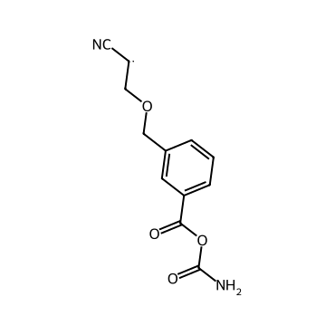 N#C[CH]COCc1cccc(C(=O)OC(N)=O)c1